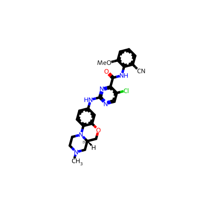 COc1cccc(C#N)c1NC(=O)c1nc(Nc2ccc3c(c2)OC[C@@H]2CN(C)CCN32)ncc1Cl